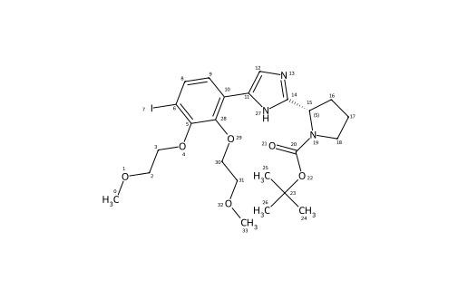 COCCOc1c(I)ccc(-c2cnc([C@@H]3CCCN3C(=O)OC(C)(C)C)[nH]2)c1OCCOC